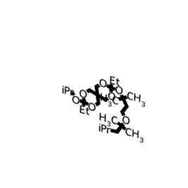 CCC1(OC(C)C)OCC2(CO1)COC(CC)(OC(C)(C)CCOC(C)(C)CC(C)C)OC2